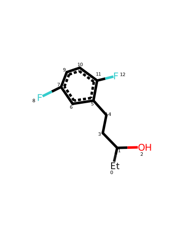 CCC(O)C[CH]c1cc(F)ccc1F